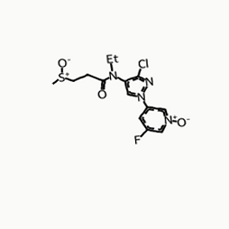 CCN(C(=O)CC[S+](C)[O-])c1cn(-c2cc(F)c[n+]([O-])c2)nc1Cl